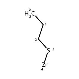 CCC[S][Zn]